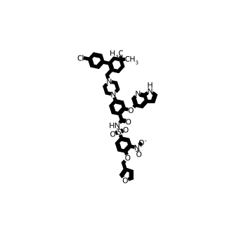 CC1(C)CCC(CN2CCN(c3ccc(C(=O)NS(=O)(=O)c4ccc(OCc5ccoc5)c([N+](=O)[O-])c4)c(Oc4cnc5[nH]ccc5c4)c3)CC2)=C(c2ccc(Cl)cc2)C1